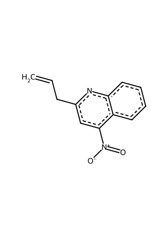 C=CCc1cc([N+](=O)[O-])c2ccccc2n1